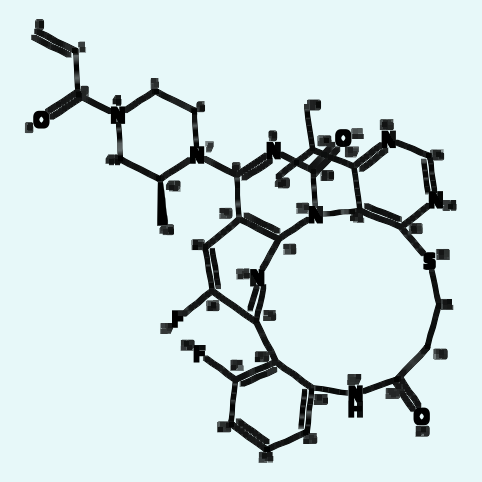 C=CC(=O)N1CCN(c2nc(=O)n3c4nc(c(F)cc24)-c2c(F)cccc2NC(=O)CCSc2ncnc(C(C)C)c2-3)[C@@H](C)C1